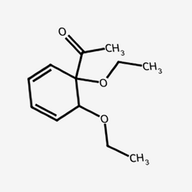 CCOC1C=CC=CC1(OCC)C(C)=O